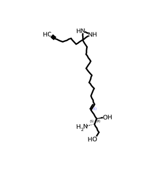 C#CCCCC1(CCCCCCCC/C=C/[C@@H](O)[C@@H](N)CO)NN1